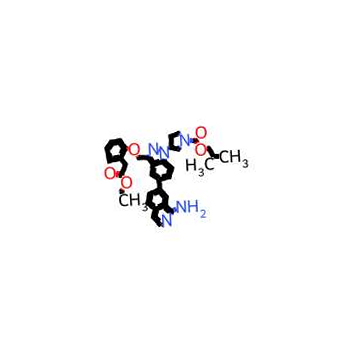 CCOC(=O)Cc1ccccc1OCc1nn([C@@H]2CCN(C(=O)OCC(C)C)C2)c2ccc(-c3ccc4ccnc(N)c4c3)cc12